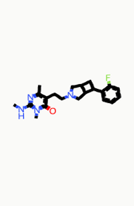 CNc1nc(C)c(CCN2CC3CC(c4ccccc4F)C3C2)c(=O)n1C